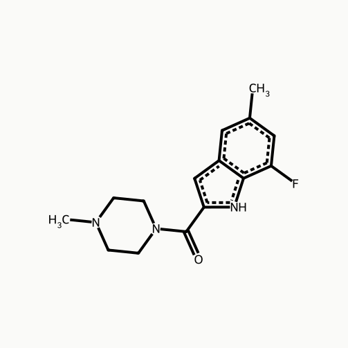 Cc1cc(F)c2[nH]c(C(=O)N3CCN(C)CC3)cc2c1